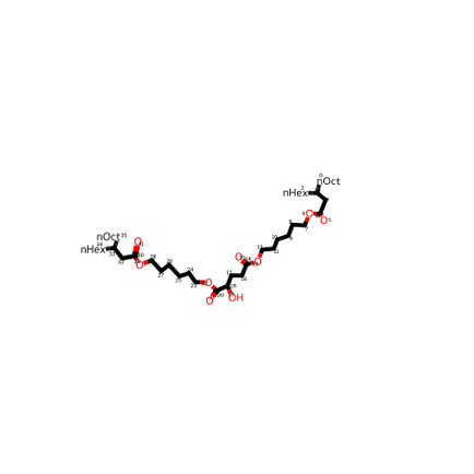 CCCCCCCCC(CCCCCC)CC(=O)OCCCCCCOC(=O)CCC(O)C(=O)OCCCCCCOC(=O)CC(CCCCCC)CCCCCCCC